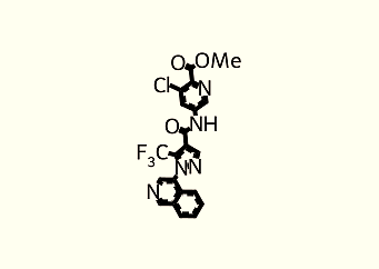 COC(=O)c1ncc(NC(=O)c2cnn(-c3cncc4ccccc34)c2C(F)(F)F)cc1Cl